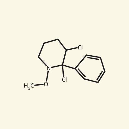 CON1CCCC(Cl)C1(Cl)c1ccccc1